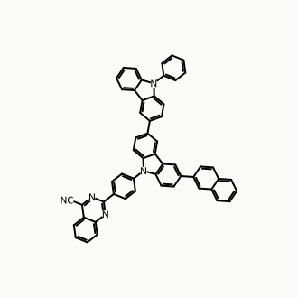 N#Cc1nc(-c2ccc(-n3c4ccc(-c5ccc6ccccc6c5)cc4c4cc(-c5ccc6c(c5)c5ccccc5n6-c5ccccc5)ccc43)cc2)nc2ccccc12